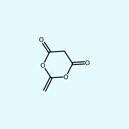 C=C1OC(=O)CC(=O)O1